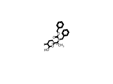 C[C@@H]([C@@H]1CCC(I)C(O)O1)N(Cc1ccccc1)C(=O)OCc1ccccc1